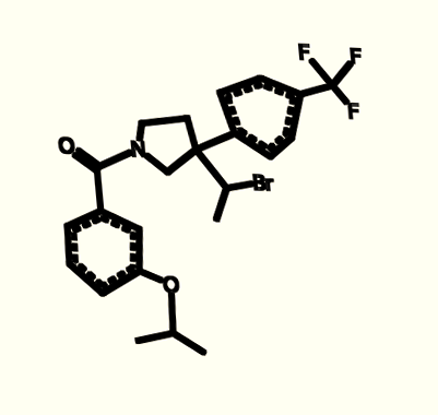 CC(C)Oc1cccc(C(=O)N2CCC(c3ccc(C(F)(F)F)cc3)(C(C)Br)C2)c1